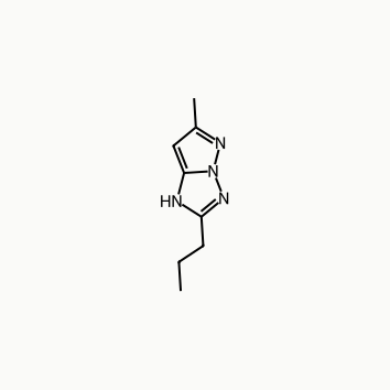 CCCc1nn2nc(C)cc2[nH]1